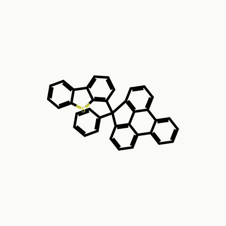 c1ccc(C2(c3cccc4c3sc3ccccc34)c3cccc4c5ccccc5c5cccc2c5c34)cc1